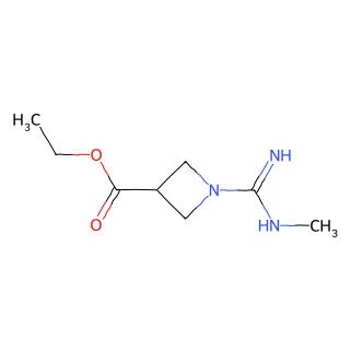 CCOC(=O)C1CN(C(=N)NC)C1